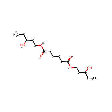 CCC(O)CCOC(=O)CCCCC(=O)OCCC(O)CC